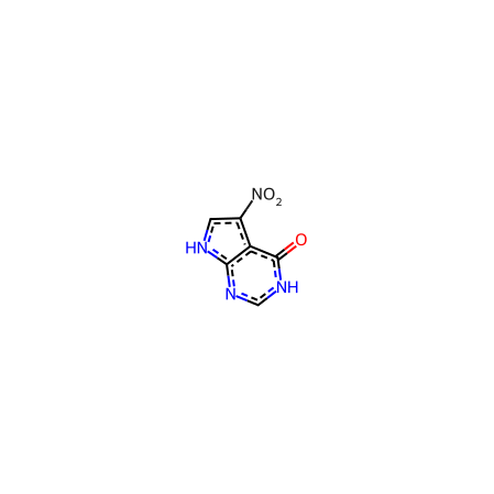 O=c1[nH]cnc2[nH]cc([N+](=O)[O-])c12